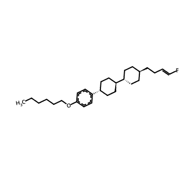 CCCCCCOc1ccc([C@H]2CC[C@H]([C@H]3CC[C@H](CC/C=C/F)CC3)CC2)cc1